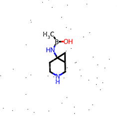 CB(O)NC12CCNCC1C2